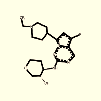 O[C@@H]1COCC[C@H]1Nc1ncc2c(F)cc(C3CCN(CC(F)(F)F)CC3)n2n1